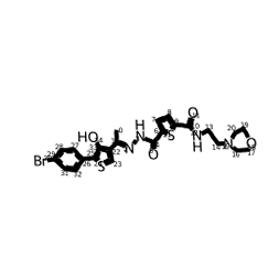 C/C(=N\NC(=O)c1ccc(C(=O)NCCN2CCOCC2)s1)c1csc(-c2ccc(Br)cc2)c1O